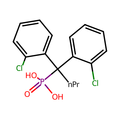 CCCC(c1ccccc1Cl)(c1ccccc1Cl)P(=O)(O)O